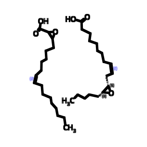 CCCCCCCC/C=C\CCCCCC1OC1C(=O)O.CCCCC[C@H]1O[C@H]1C/C=C\CCCCCCCC(=O)O